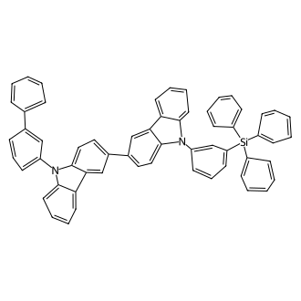 c1ccc(-c2cccc(-n3c4ccccc4c4cc(-c5ccc6c(c5)c5ccccc5n6-c5cccc([Si](c6ccccc6)(c6ccccc6)c6ccccc6)c5)ccc43)c2)cc1